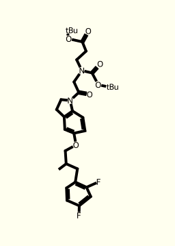 CC(COc1ccc2c(c1)CCN2C(=O)CN(CCC(=O)OC(C)(C)C)C(=O)OC(C)(C)C)Cc1ccc(F)cc1F